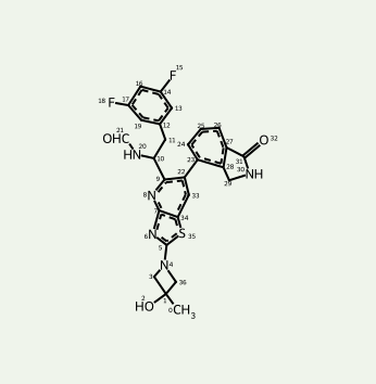 CC1(O)CN(c2nc3nc(C(Cc4cc(F)cc(F)c4)NC=O)c(-c4cccc5c4CNC5=O)cc3s2)C1